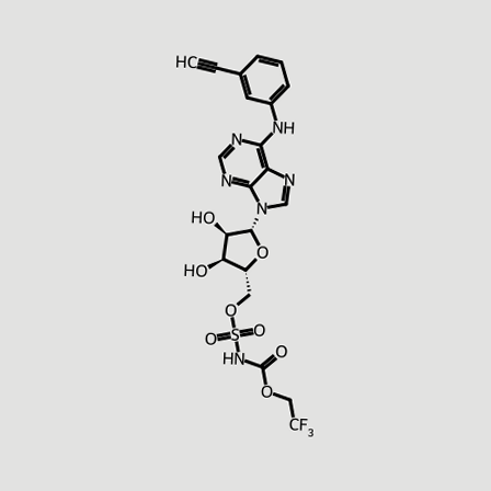 C#Cc1cccc(Nc2ncnc3c2ncn3[C@@H]2O[C@H](COS(=O)(=O)NC(=O)OCC(F)(F)F)[C@@H](O)[C@H]2O)c1